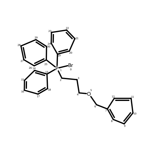 BrP(CCCOCc1ccccc1)(c1ccccc1)(c1ccccc1)c1ccccc1